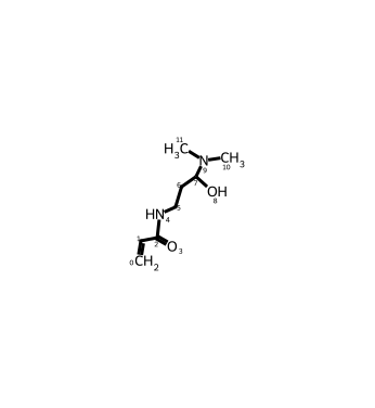 C=CC(=O)NCCC(O)N(C)C